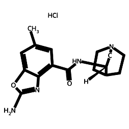 Cc1cc(C(=O)N[C@@H]2CN3CCC2CC3)c2nc(N)oc2c1.Cl